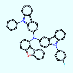 Fc1ccc(-n2c3ccccc3c3cc(N(c4ccc5c6ccccc6n(-c6ccccc6)c5c4)c4cccc5oc6ccccc6c45)ccc32)cc1